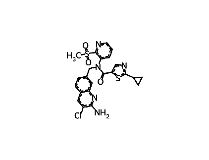 CS(=O)(=O)c1ncccc1N(Cc1ccc2cc(Cl)c(N)nc2c1)C(=O)c1cnc(C2CC2)s1